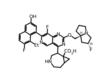 CCc1c(F)ccc2cc(O)cc(-c3ncc4c(C5CNCCC6CC65C(=O)O)nc(OC[C@@]56CCCN5C[C@H](F)C6)nc4c3F)c12